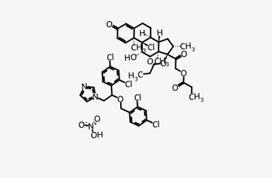 CCC(=O)OCC(=O)[C@@]1(OC(=O)CC)[C@@H](C)C[C@H]2[C@@H]3CCC4=CC(=O)C=C[C@]4(C)[C@@]3(Cl)[C@@H](O)C[C@@]21C.Clc1ccc(COC(Cn2ccnc2)c2ccc(Cl)cc2Cl)c(Cl)c1.O=[N+]([O-])O